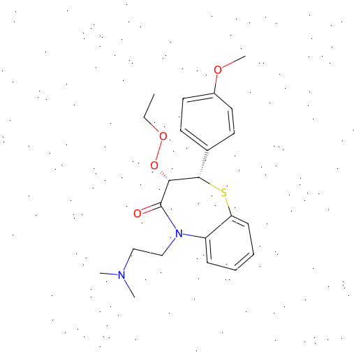 CCOO[C@H]1C(=O)N(CCN(C)C)c2ccccc2S[C@H]1c1ccc(OC)cc1